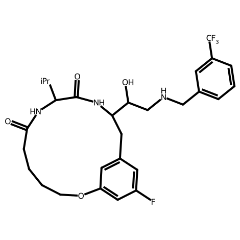 CC(C)C1NC(=O)CCCCOc2cc(F)cc(c2)CC(C(O)CNCc2cccc(C(F)(F)F)c2)NC1=O